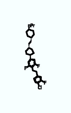 CCC[C@H]1CC[C@H](CC[C@H]2CC[C@H](c3cc(F)c(CCc4ccc(Cl)c(F)c4)c(F)c3)CC2)CC1